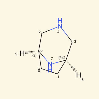 [CH]1C[C@@H]2CNC[C@H]1N2